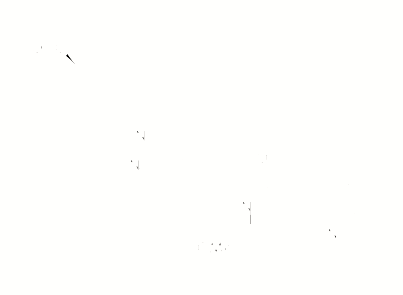 COc1cc2nn([C@H]3CC[C@H](C=O)CC3)cc2cc1NC(=O)c1cncc(C)c1